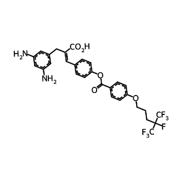 Nc1cc(N)cc(CC(=Cc2ccc(OC(=O)c3ccc(OCCCC(F)(C(F)(F)F)C(F)(F)F)cc3)cc2)C(=O)O)c1